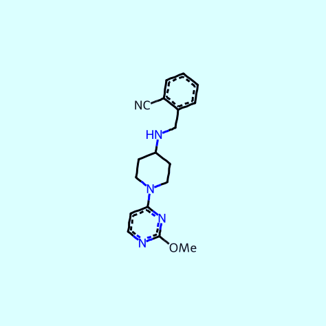 COc1nccc(N2CCC(NCc3ccccc3C#N)CC2)n1